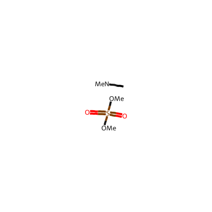 CNC.COS(=O)(=O)OC